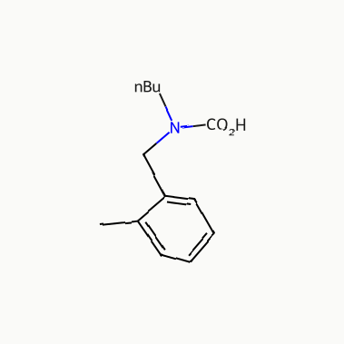 CCCCN(Cc1ccccc1C)C(=O)O